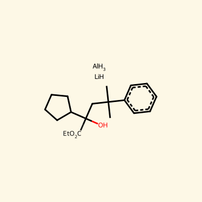 CCOC(=O)C(O)(CC(C)(C)c1ccccc1)C1CCCC1.[AlH3].[LiH]